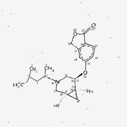 CC(C)CC(C)N1C[C@@H]2C[C@@H]2[C@H](Oc2ccc3c(c2)COC3=O)C1